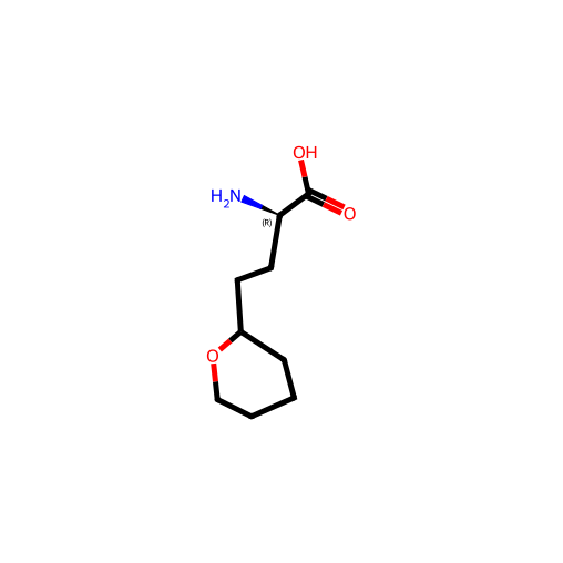 N[C@H](CCC1CCCCO1)C(=O)O